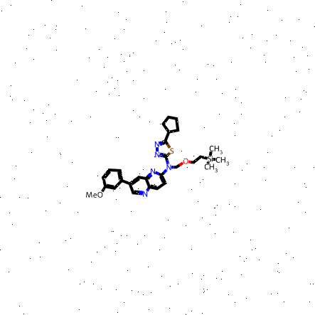 COc1cccc(-c2cnc3ccc(N(COCC[Si](C)(C)C)c4nnc(C5CCCC5)s4)nc3c2)c1